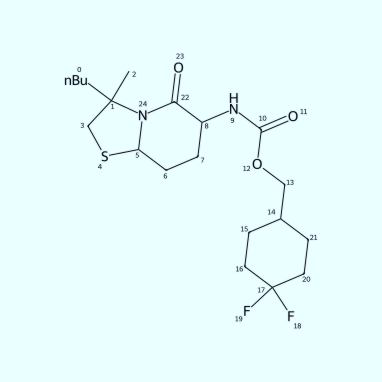 CCCCC1(C)CSC2CCC(NC(=O)OCC3CCC(F)(F)CC3)C(=O)N21